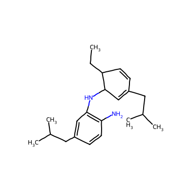 CCC1C=CC(CC(C)C)=CC1Nc1cc(CC(C)C)ccc1N